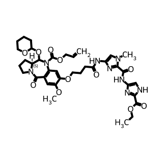 C=CCOC(=O)N1c2cc(OCCCC(=O)Nc3cn(C)c(C(=O)Nc4c[nH]c(C(=O)OCC)n4)n3)c(OC)cc2C(=O)N2CCC[C@H]2C1OC1CCCCO1